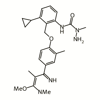 CN/C(OC)=C(/C)C(=N)c1ccc(OCc2c(NC(=O)N(C)N)cccc2C2CC2)c(C)c1